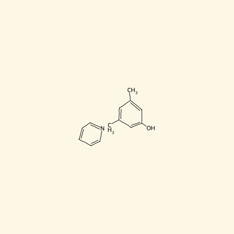 Cc1cc(C)cc(O)c1.c1ccncc1